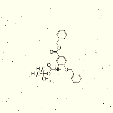 CC(C)(C)OC(=O)Nc1cc(C(=O)OCc2ccccc2)ccc1OCc1ccccc1